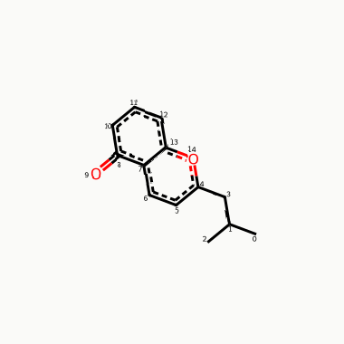 CC(C)Cc1ccc2c(=O)cccc-2o1